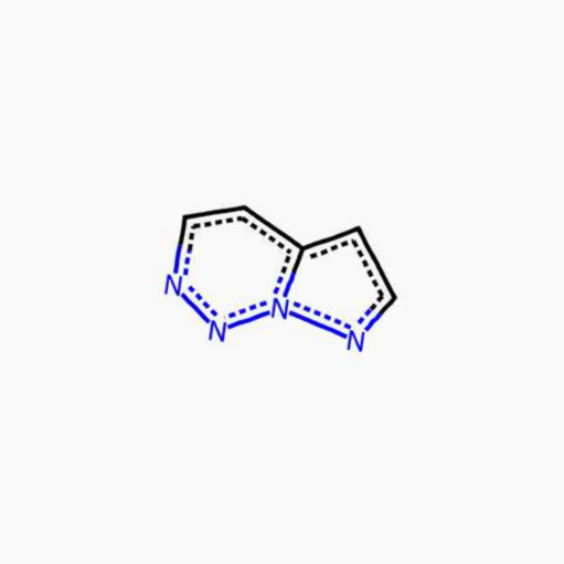 c1cc2ccnn2nn1